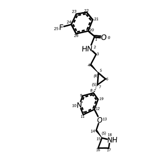 O=C(NCC[C@H]1C[C@@H]1c1cncc(OC[C@@H]2CCN2)c1)c1cccc(F)c1